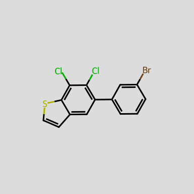 Clc1c(-c2cccc(Br)c2)cc2ccsc2c1Cl